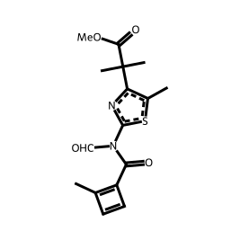 COC(=O)C(C)(C)c1nc(N(C=O)C(=O)C2=C(C)C=C2)sc1C